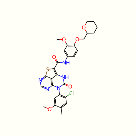 COc1cc(N2C(=O)Nc3c(C(=O)Nc4ccc(OCC5CCCCO5)c(OC)c4)sc4ncnc2c34)c(Cl)cc1C